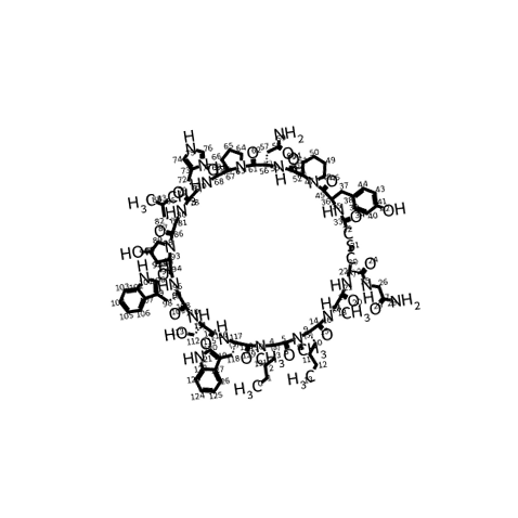 CCCC[C@H]1C(=O)N(C)[C@@H](CCCC)C(=O)N[C@@H](C)C(=O)N[C@H](C(=O)NCC(N)=O)CSCC(=O)NC(Cc2ccc(O)cc2)C(=O)N2CCCC[C@H]2C(=O)N[C@@H](CC(N)=O)C(=O)N2CCC[C@H]2C(=O)N[C@@H](Cc2c[nH]cn2)C(=O)N[C@@H](CC(C)C)C(=O)N2C[C@H](O)C[C@H]2C(=O)N[C@@H](Cc2c[nH]c3ccccc23)C(=O)N[C@@H](CO)C(=O)N[C@@H](Cc2c[nH]c3ccccc23)C(=O)N1C